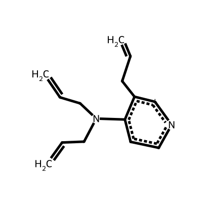 C=CCc1[c]nccc1N(CC=C)CC=C